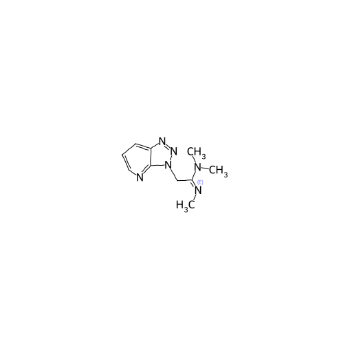 C/N=C(\Cn1nnc2cccnc21)N(C)C